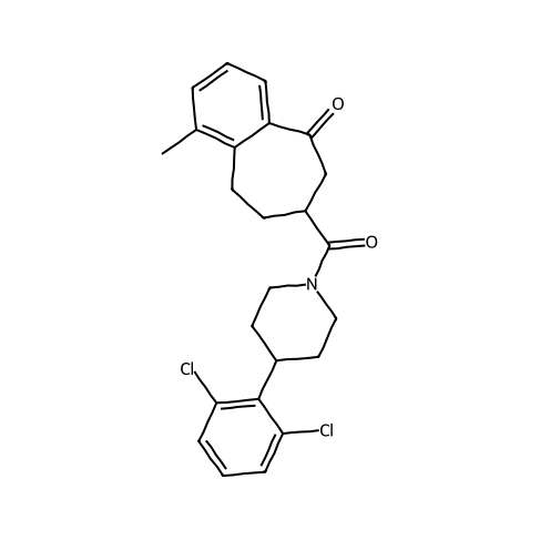 Cc1cccc2c1CCC(C(=O)N1CCC(c3c(Cl)cccc3Cl)CC1)CC2=O